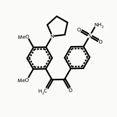 C=C(C(=O)c1ccc(S(N)(=O)=O)cc1)c1cc(N2CCCC2)c(OC)cc1OC